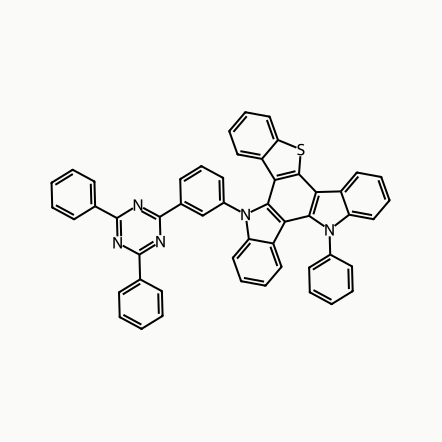 c1ccc(-c2nc(-c3ccccc3)nc(-c3cccc(-n4c5ccccc5c5c6c(c7ccccc7n6-c6ccccc6)c6sc7ccccc7c6c54)c3)n2)cc1